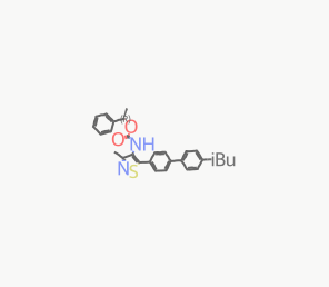 CCC(C)c1ccc(-c2ccc(-c3snc(C)c3NC(=O)O[C@H](C)c3ccccc3)cc2)cc1